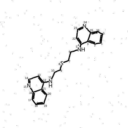 c1ccc2c(NCCSCCNc3ccnc4ccccc34)ccnc2c1